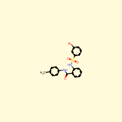 Cc1ccc(NC(=O)c2ccccc2NS(=O)(=O)c2cccc(Br)c2)cc1